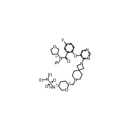 CCN(CC)S(=O)(=O)N[C@@H]1CC[C@@H](CN2CCC3(CC2)CN(c2ncncc2Oc2ccc(F)cc2C(=O)N(C(C)C)[C@H]2CCOC2)C3)OC1